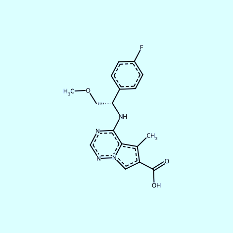 COC[C@@H](Nc1ncnn2cc(C(=O)O)c(C)c12)c1ccc(F)cc1